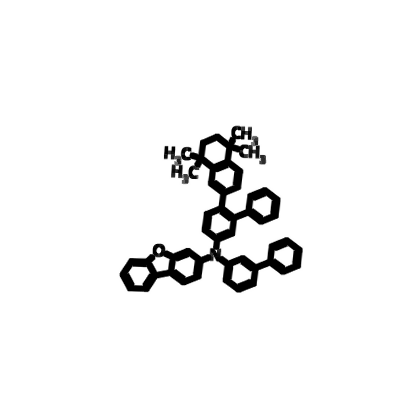 CC1(C)CCC(C)(C)c2cc(-c3ccc(N(c4cccc(-c5ccccc5)c4)c4ccc5c(c4)oc4ccccc45)cc3-c3ccccc3)ccc21